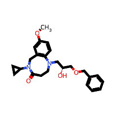 COc1ccc2c(c1)CN(C1CC1)C(=O)CCN2C[C@@H](O)COCc1ccccc1